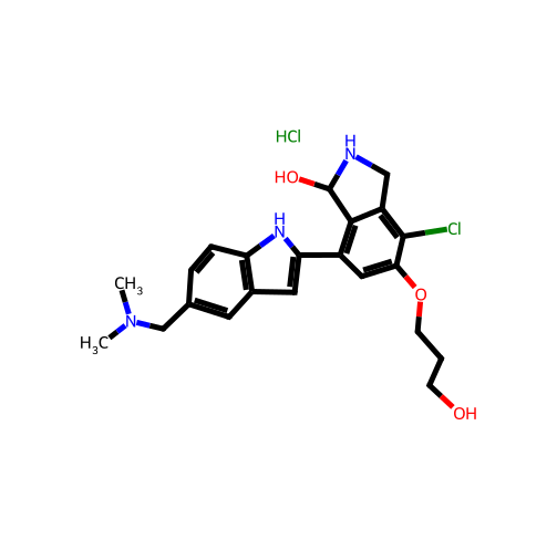 CN(C)Cc1ccc2[nH]c(-c3cc(OCCCO)c(Cl)c4c3C(O)NC4)cc2c1.Cl